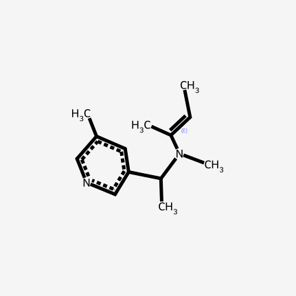 C/C=C(\C)N(C)C(C)c1cncc(C)c1